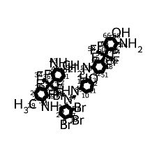 Brc1ccc(N(Br)CNc2ccccc2)c(Br)c1Br.Cc1ccc(C(c2ccc(C)c(N)c2)(C(F)(F)F)C(F)(F)F)cc1N.Nc1cc(C(c2ccc(O)c(N)c2)(C(F)(F)F)C(F)(F)F)ccc1O